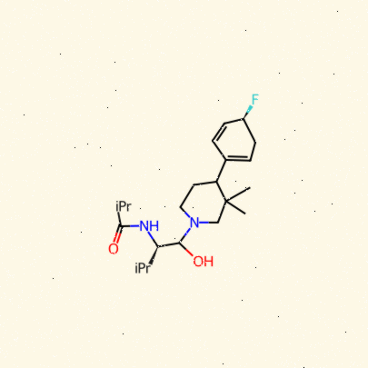 CC(C)C(=O)N[C@H](C(C)C)C(O)N1CCC(C2=CC[C@H](F)C=C2)C(C)(C)C1